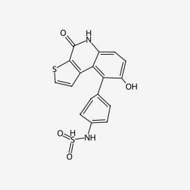 O=c1[nH]c2ccc(O)c(-c3ccc(N[SH](=O)=O)cc3)c2c2ccsc12